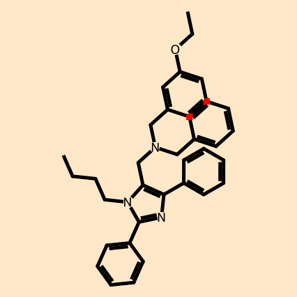 CCCCn1c(-c2ccccc2)nc(-c2ccccc2)c1CN(Cc1ccccc1)Cc1cccc(OCC)c1